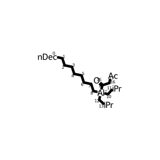 CCCCCCCCCCCCCCCCC[CH2][Al-]([CH2]C(C)C)([CH2]C(C)C)[C](=O)CC(C)=O